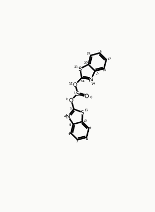 O=S(Oc1nc2ccccc2s1)Oc1nc2ccccc2s1